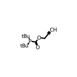 C#CCOC(=O)P(C(C)(C)C)C(C)(C)C